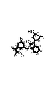 CCCC(CC(=O)O)n1c(=O)n(Cc2cc(F)cc3c(C)c(C)n(C)c23)c2ccccc21